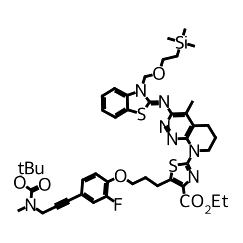 CCOC(=O)c1nc(N2CCCc3c2nnc(/N=c2\sc4ccccc4n2COCC[Si](C)(C)C)c3C)sc1CCCOc1ccc(C#CCN(C)C(=O)OC(C)(C)C)cc1F